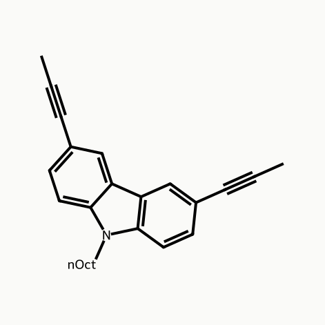 CC#Cc1ccc2c(c1)c1cc(C#CC)ccc1n2CCCCCCCC